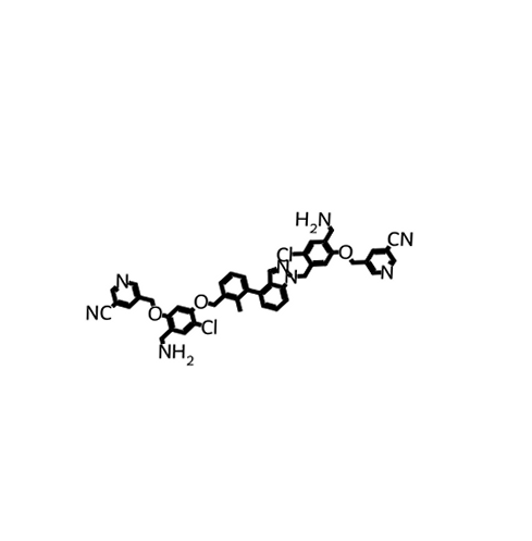 Cc1c(COc2cc(OCc3cncc(C#N)c3)c(CN)cc2Cl)cccc1-c1cccc2c1cnn2Cc1cc(OCc2cncc(C#N)c2)c(CN)cc1Cl